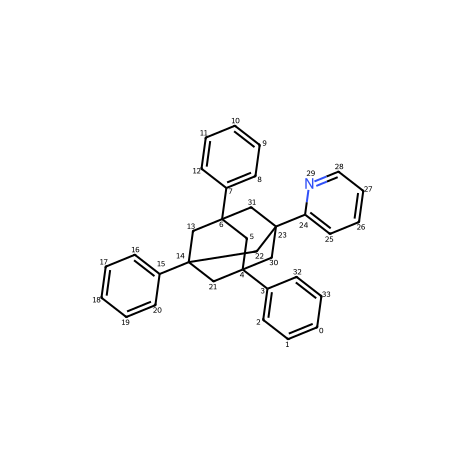 c1ccc(C23CC4(c5ccccc5)CC(c5ccccc5)(C2)CC(c2ccccn2)(C3)C4)cc1